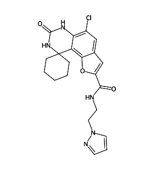 O=C1Nc2c(Cl)cc3cc(C(=O)NCCn4cccn4)oc3c2C2(CCCCC2)N1